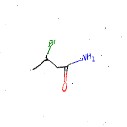 [CH2]C(Br)C(N)=O